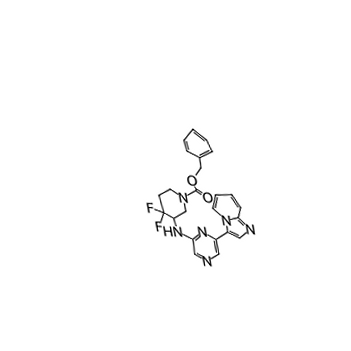 O=C(OCc1ccccc1)N1CCC(F)(F)C(Nc2cncc(-c3cnc4ccccn34)n2)C1